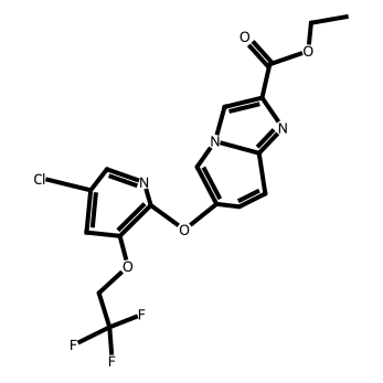 CCOC(=O)c1cn2cc(Oc3ncc(Cl)cc3OCC(F)(F)F)ccc2n1